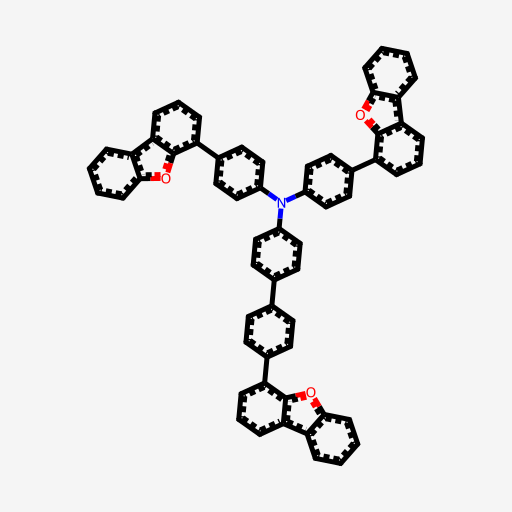 c1ccc2c(c1)oc1c(-c3ccc(-c4ccc(N(c5ccc(-c6cccc7c6oc6ccccc67)cc5)c5ccc(-c6cccc7c6oc6ccccc67)cc5)cc4)cc3)cccc12